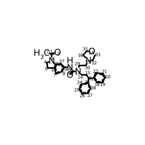 CC(=O)N1CCc2ccc(NC(=O)N(CCC(c3ccccc3)c3ccccc3)CCN3CCOCC3)cc21